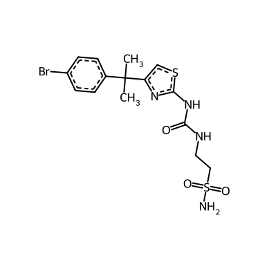 CC(C)(c1ccc(Br)cc1)c1csc(NC(=O)NCCS(N)(=O)=O)n1